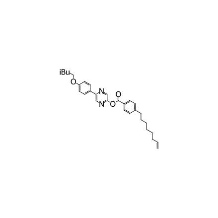 C=CCCCCCCc1ccc(C(=O)Oc2cnc(-c3ccc(OCC(C)CC)cc3)cn2)cc1